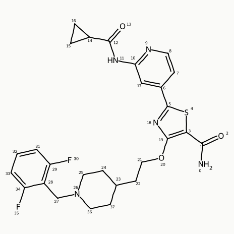 NC(=O)c1sc(-c2ccnc(NC(=O)C3CC3)c2)nc1OCCC1CCN(Cc2c(F)cccc2F)CC1